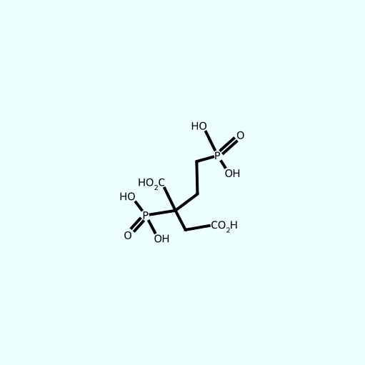 O=C(O)CC(CCP(=O)(O)O)(C(=O)O)P(=O)(O)O